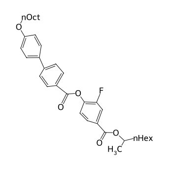 CCCCCCCCOc1ccc(-c2ccc(C(=O)Oc3ccc(C(=O)OC(C)CCCCCC)cc3F)cc2)cc1